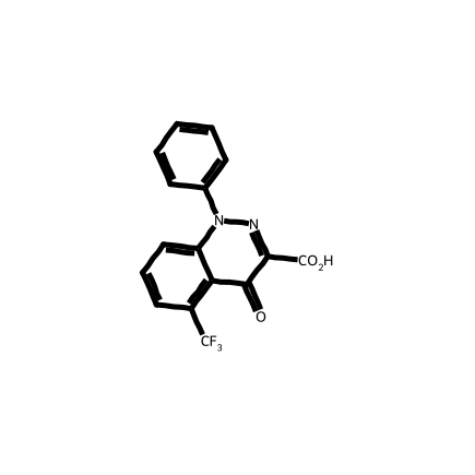 O=C(O)c1nn(-c2ccccc2)c2cccc(C(F)(F)F)c2c1=O